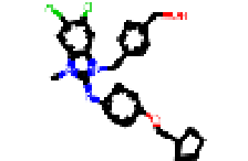 Cn1/c(=N/c2ccc(OCC3CCCC3)cc2)n(Cc2ccc(CO)cc2)c2cc(Cl)c(Cl)cc21